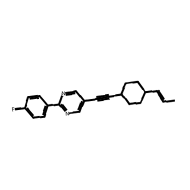 C/C=C/C1CCC(C#Cc2cnc(-c3ccc(F)cc3)nc2)CC1